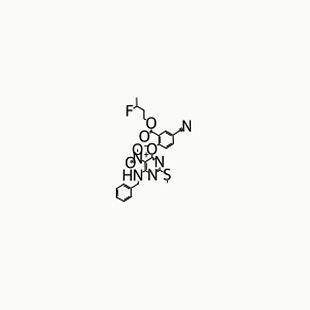 CSc1nc(NCc2ccccc2)c([N+](=O)[O-])c(Oc2ccc(C#N)cc2C(=O)OCCC(C)F)n1